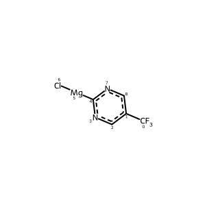 FC(F)(F)c1cn[c]([Mg][Cl])nc1